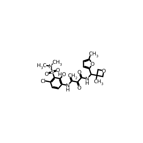 C=C(Nc1ccc(Cl)c(S(=O)(=O)N(C)C)c1O)C(=O)C(=O)NC(c1ccc(C)o1)C1(C)COC1